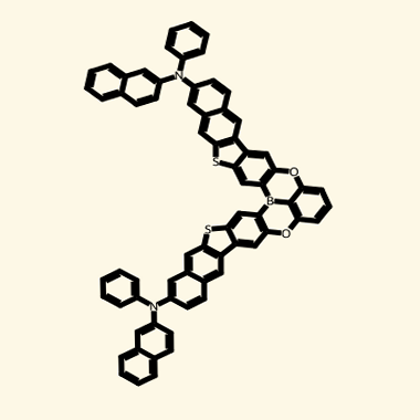 c1ccc(N(c2ccc3ccccc3c2)c2ccc3cc4c(cc3c2)sc2cc3c(cc24)Oc2cccc4c2B3c2cc3sc5cc6cc(N(c7ccccc7)c7ccc8ccccc8c7)ccc6cc5c3cc2O4)cc1